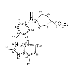 CCOC(=O)C1CCC(Nc2ccc(Cn3c(C)nc4c(C)cc(C)nc43)cc2)CC1